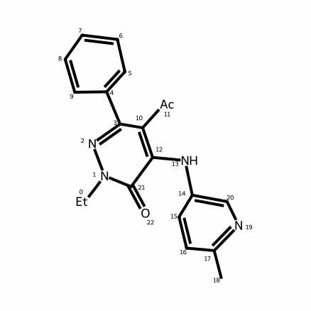 CCn1nc(-c2ccccc2)c(C(C)=O)c(Nc2ccc(C)nc2)c1=O